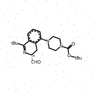 CC(C)(C)OC(=O)N1CCN(c2cccc3c2C[C@H](C=O)N=C3C(C)(C)C)CC1